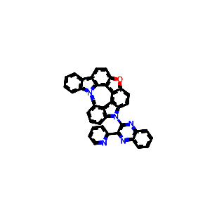 c1ccc(-c2nc3ccccc3nc2-n2c3ccc4oc5ccc6c7ccccc7n7c8cccc2c8c3c4c5c67)nc1